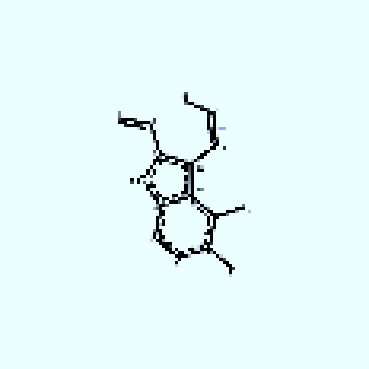 C=Cc1oc2ccc(C)c(C)c2c1/C=C\C